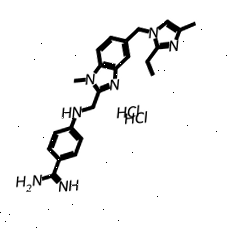 CCc1nc(C)cn1Cc1ccc2c(c1)nc(CNc1ccc(C(=N)N)cc1)n2C.Cl.Cl